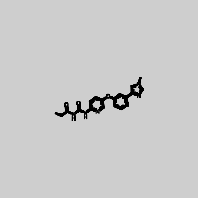 CCC(=O)NC(=O)Nc1ccc(Oc2ccnc(-c3cn(C)cn3)c2)cn1